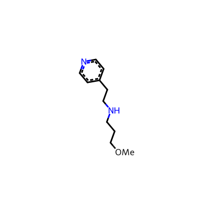 COCCCNCCc1ccncc1